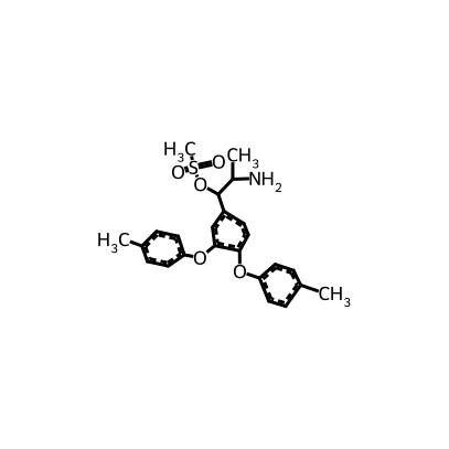 Cc1ccc(Oc2ccc(C(OS(C)(=O)=O)C(C)N)cc2Oc2ccc(C)cc2)cc1